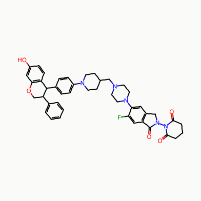 O=C1c2cc(F)c(N3CCN(CC4CCN(c5ccc(C6c7ccc(O)cc7OCC6c6ccccc6)cc5)CC4)CC3)cc2CN1N1C(=O)CCCC1=O